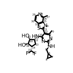 Cc1nc(NCC2CC2)nc(N[C@@H]2C[C@H](C(F)F)[C@@H](O)[C@H]2O)c1-c1nc2c(C)nccc2s1